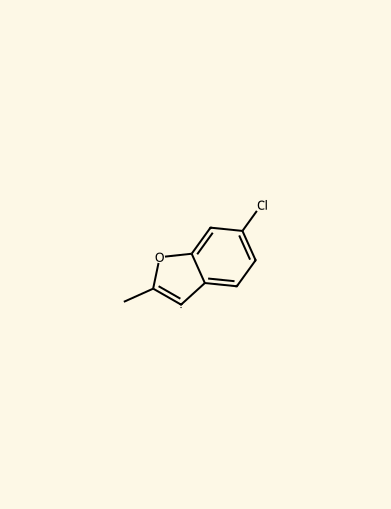 Cc1[c]c2ccc(Cl)cc2o1